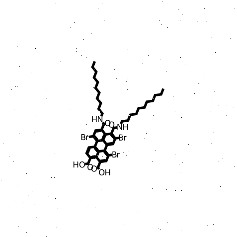 CCCCCCCCCCCNC(=O)c1cc(Br)c2c3ccc(C(=O)O)c4c(C(=O)O)cc(Br)c(c5cc(Br)c(C(=O)NCCCCCCCCCCC)c1c52)c43